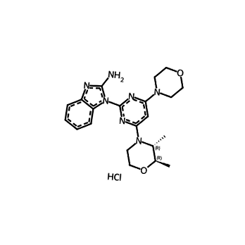 C[C@@H]1[C@@H](C)OCCN1c1cc(N2CCOCC2)nc(-n2c(N)nc3ccccc32)n1.Cl